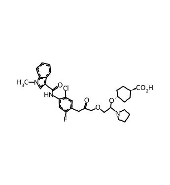 Cn1cc(C(=O)Nc2cc(F)c(CC(=O)COCC(O[C@H]3CC[C@H](C(=O)O)CC3)N3CCCC3)cc2Cl)c2ccccc21